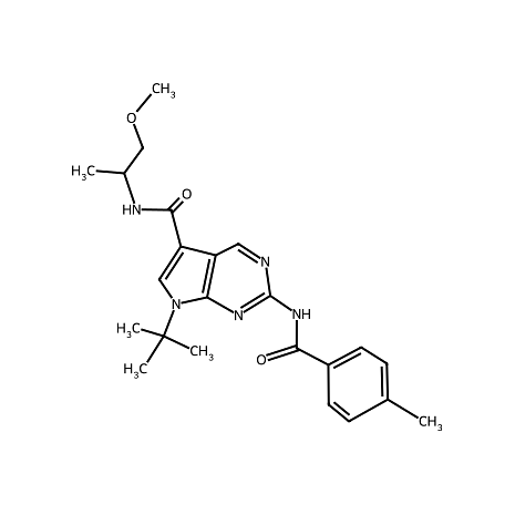 COCC(C)NC(=O)c1cn(C(C)(C)C)c2nc(NC(=O)c3ccc(C)cc3)ncc12